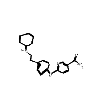 NC(=O)c1ccc(Oc2ccc(CCNC3CCCCC3)cc2)nc1